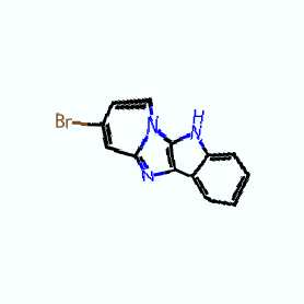 Brc1ccn2c(c1)nc1c3ccccc3[nH]c12